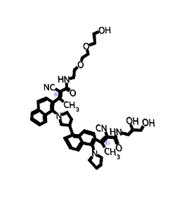 C/C(=C(/C#N)C(=O)NCCOCCOCCO)c1ccc2ccccc2c1N1CCC(c2cccc3c(N4CCCC4)c(/C(C)=C(\C#N)C(=O)NCC(O)CO)ccc23)C1